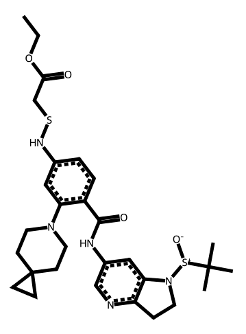 CCOC(=O)CSNc1ccc(C(=O)Nc2cnc3c(c2)N([S+]([O-])C(C)(C)C)CC3)c(N2CCC3(CC2)CC3)c1